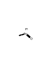 [CH3][Ru]=[O].[Pt]